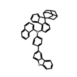 c1ccc2c(c1)-c1c(N(c3ccc(-c4ccc5sc6ccccc6c5c4)cc3)c3cccc4ccccc34)cccc1C21C2CC3CC(C2)CC1C3